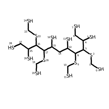 SCSC(C(S)CS)C(SCS)C(S)CC(S)C(SCS)C(SCS)C(S)CS